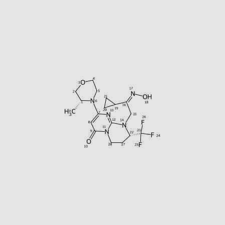 C[C@@H]1COCCN1c1cc(=O)n2c(n1)N(C/C(=N\O)C1CC1)[C@H](C(F)(F)F)CC2